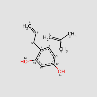 C=C(C)C.C=CCc1ccc(O)cc1O